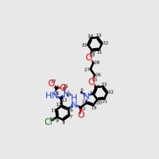 Cn1c(C(=O)Nc2ccc(Cl)cc2-c2noc(=O)[nH]2)cc2cccc(OCCCOc3ccccc3)c21